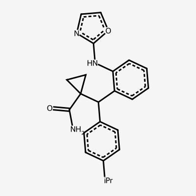 CC(C)c1ccc(C(c2ccccc2Nc2ncco2)C2(C(N)=O)CC2)cc1